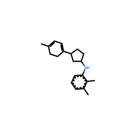 CC1=CC=C(C2CCC(Nc3cccc(C)c3C)C2)CC1